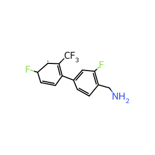 NCc1ccc(C2=C(C(F)(F)F)[CH]C(F)C=C2)cc1F